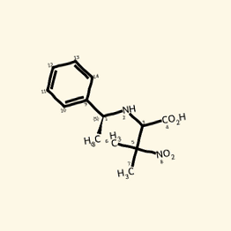 C[C@H](NC(C(=O)O)C(C)(C)[N+](=O)[O-])c1ccccc1